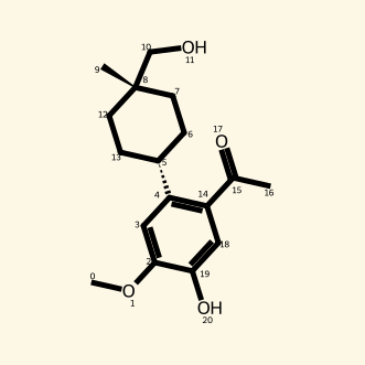 COc1cc([C@H]2CC[C@@](C)(CO)CC2)c(C(C)=O)cc1O